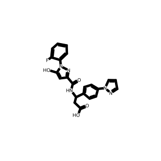 O=C(O)CC(NC(=O)c1cc(O)n(-c2ccccc2F)n1)c1ccc(-n2cccn2)cc1